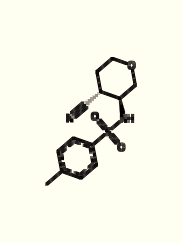 Cc1ccc(S(=O)(=O)N[C@@H]2COCC[C@H]2C#N)cc1